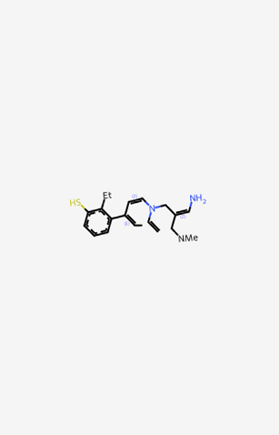 C=CN(/C=C\C(=C/C)c1cccc(S)c1CC)C/C(=C\N)CNC